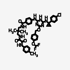 Cc1ccc(NC(=O)C(=O)NCC(C)(C)CNC(=O)c2ccc(NC3N=C(OCc4ccc(OC(F)F)cc4)N=C(NC4(c5ccc(Cl)cc5)CC4)N3)cc2)cc1